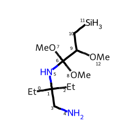 CCC(CC)(CN)NC(OC)(OC)C(C[SiH3])OC